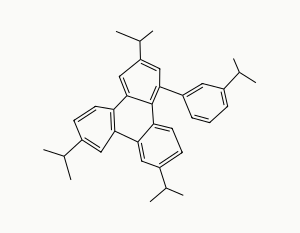 CC(C)c1cccc(-c2cc(C(C)C)cc3c4ccc(C(C)C)cc4c4cc(C(C)C)ccc4c23)c1